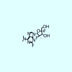 CN(C)c1nc(F)nc2c1ncn2[C@@H]1O[C@](F)(CO)[C@@H](O)[C@@]1(C)F